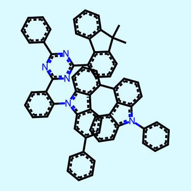 CC1(C)c2ccccc2-c2c(-c3nc(-c4ccccc4)nc(-c4ccccc4-n4c5cc(-c6ccccc6)ccc5c5c(-c6cccc7c6c6ccccc6n7-c6ccccc6)cccc54)n3)cccc21